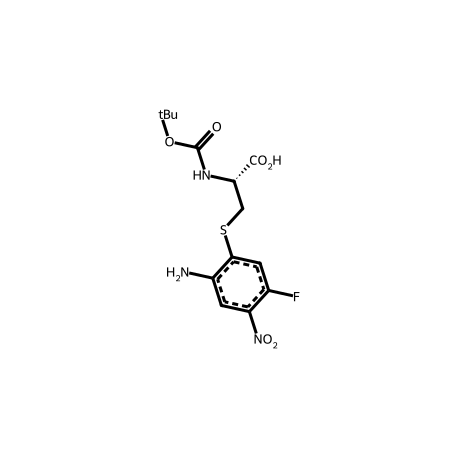 CC(C)(C)OC(=O)N[C@@H](CSc1cc(F)c([N+](=O)[O-])cc1N)C(=O)O